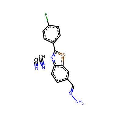 C#N.C#N.NN=Cc1ccc2nc(-c3ccc(F)cc3)sc2c1